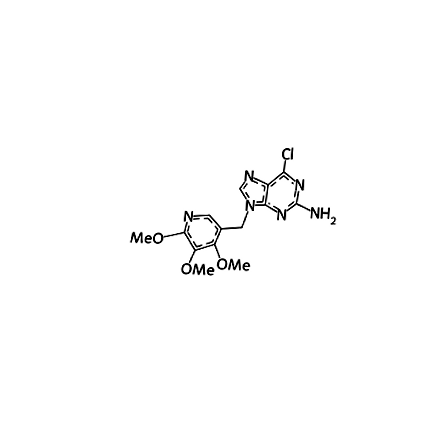 COc1ncc(Cn2cnc3c(Cl)nc(N)nc32)c(OC)c1OC